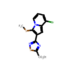 CCOC(=O)c1nc(-c2cc3c(Br)cccn3c2SC(F)(F)F)ns1